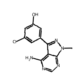 Cn1nc(-c2cc(O)cc(Cl)c2)c2c(N)ncnc21